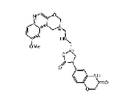 COc1ccc2ncc3c(c2n1)C[C@H](CNC[C@@H]1CN(c2ccc4c(c2)NC(=O)CO4)C(=O)O1)CO3